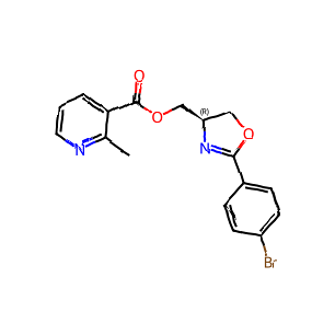 Cc1ncccc1C(=O)OC[C@H]1COC(c2ccc(Br)cc2)=N1